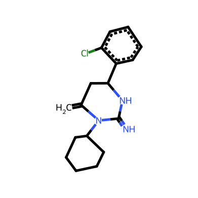 C=C1CC(c2ccccc2Cl)NC(=N)N1C1CCCCC1